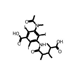 CC(=O)N(C)c1c(I)c(NC(=O)C(C)C(C)C(C)C(=O)O)c(I)c(C(=O)O)c1I